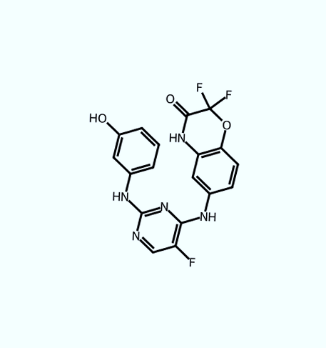 O=C1Nc2cc(Nc3nc(Nc4cccc(O)c4)ncc3F)ccc2OC1(F)F